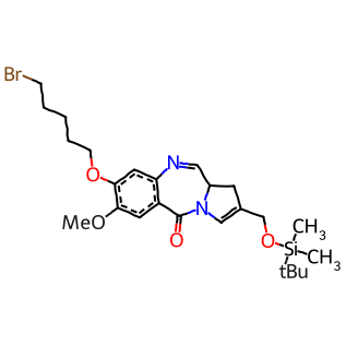 COc1cc2c(cc1OCCCCCBr)N=CC1CC(CO[Si](C)(C)C(C)(C)C)=CN1C2=O